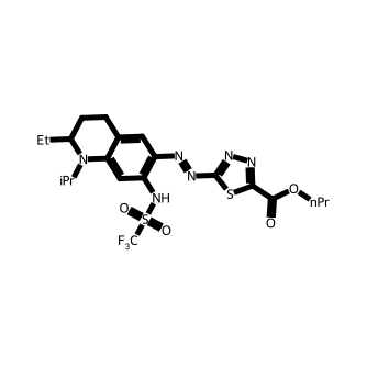 CCCOC(=O)c1nnc(N=Nc2cc3c(cc2NS(=O)(=O)C(F)(F)F)N(C(C)C)C(CC)CC3)s1